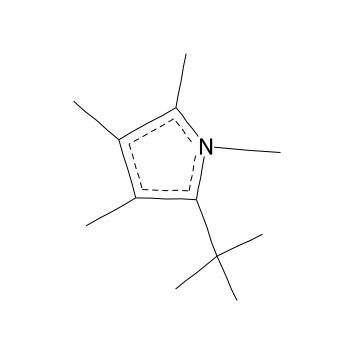 Cc1c(C)c(C(C)(C)C)n(C)c1C